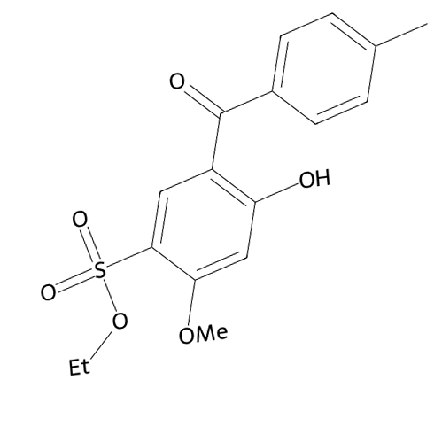 CCOS(=O)(=O)c1cc(C(=O)c2ccc(C)cc2)c(O)cc1OC